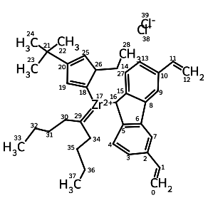 C=Cc1ccc2c(c1)-c1cc(C=C)ccc1[CH]2[Zr+2]([C]1=CC(C(C)(C)C)=CC1CC)=[C](CCCC)CCCC.[Cl-].[Cl-]